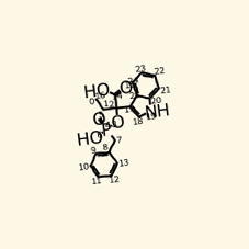 CCC(OP(=O)(O)Cc1ccccc1)(C(=O)O)c1c[nH]c2ccccc12